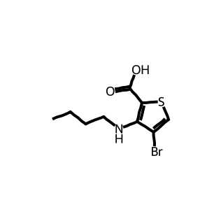 CCCCNc1c(Br)csc1C(=O)O